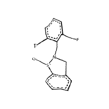 [O-][S+]1c2ccccc2CN1c1c(F)cccc1F